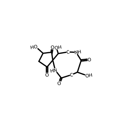 O=C1CC(O)C(=O)NCC(O)C2(N1)C(=O)CC(O)C2=O